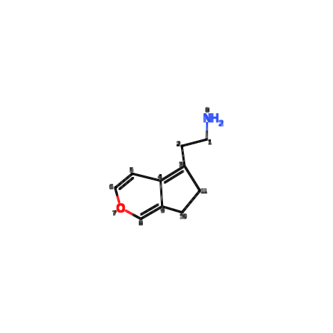 NCCC1=C2C=COC=C2CC1